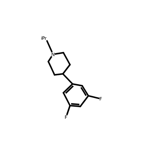 CC(C)N1CCC(c2cc(F)cc(F)c2)CC1